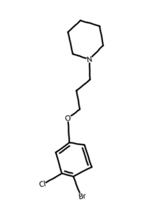 Clc1cc(OCCCN2CCCCC2)ccc1Br